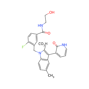 Cc1ccc2c(c1)c(-c1ccc[nH]c1=O)c(C(=O)O)n2Cc1cc(C(=O)NCCO)ccc1F